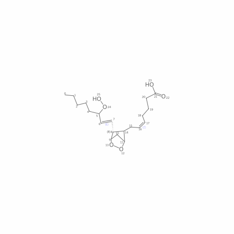 CCCCCC(/C=C/[C@H]1C2CC(OO2)C1C/C=C\CCCC(=O)O)OO